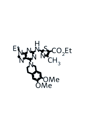 CCOC(=O)c1sc(Nc2nc(N3CCc4cc(OC)c(OC)cc4C3)c3ncn(CC)c3n2)nc1C